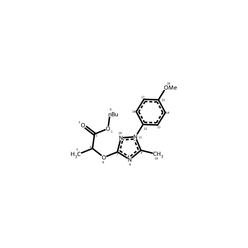 CCCCOC(=O)C(C)Oc1nc(C)n(-c2ccc(OC)cc2)n1